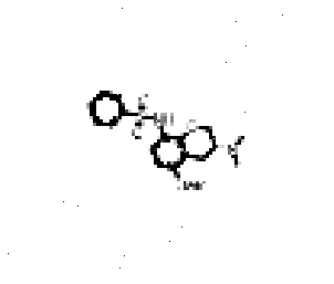 COc1ccc(NS(=O)(=O)c2ccccc2)c2c1C[C@@H](N(C)C)CO2